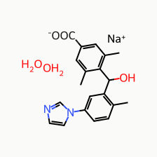 Cc1ccc(-n2ccnc2)cc1C(O)c1c(C)cc(C(=O)[O-])cc1C.O.O.[Na+]